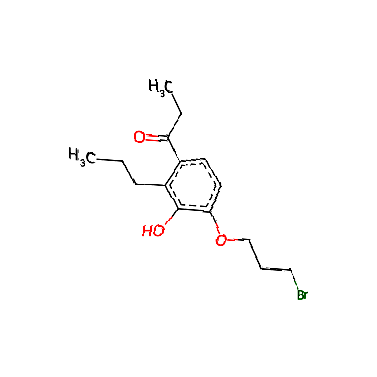 CCCc1c(C(=O)CC)ccc(OCCCBr)c1O